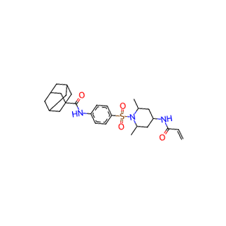 C=CC(=O)NC1CC(C)N(S(=O)(=O)c2ccc(NC(=O)C34CC5CC(CC(C5)C3)C4)cc2)C(C)C1